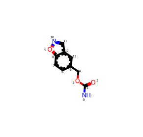 [NH]C(=O)O[CH]c1ccc2oncc2c1